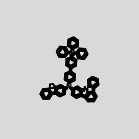 c1ccc([Si](c2ccccc2)(c2ccccc2)c2ccc(-c3ccc(N(c4ccc5c(c4)oc4ccccc45)c4ccc5c6cccc7c8ccccc8n(c5c4)c76)cc3)cc2)cc1